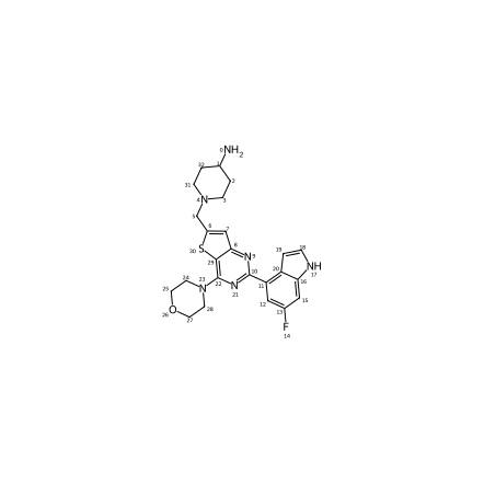 NC1CCN(Cc2cc3nc(-c4cc(F)cc5[nH]ccc45)nc(N4CCOCC4)c3s2)CC1